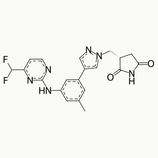 Cc1cc(Nc2nccc(C(F)F)n2)cc(-c2cnn(C[C@@H]3CC(=O)NC3=O)c2)c1